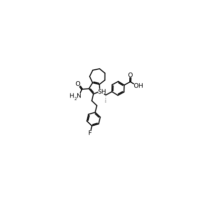 C[C@@H](c1ccc(C(=O)O)cc1)[SH]1C2=C(CCCCC2)C(C(N)=O)=C1CCc1ccc(F)cc1